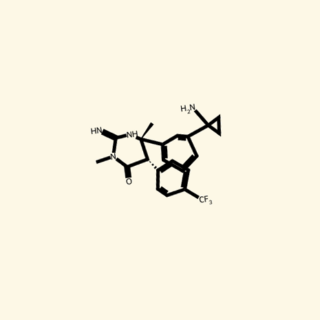 CN1C(=N)N[C@](C)(c2cccc(C3(N)CC3)c2)[C@H](c2ccc(C(F)(F)F)cc2)C1=O